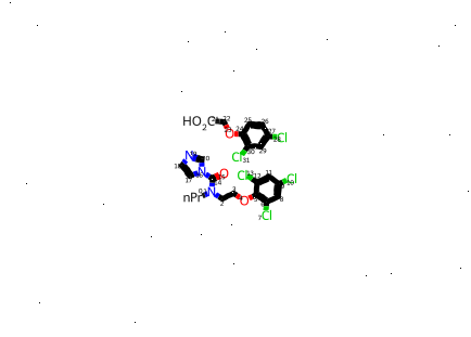 CCCN(CCOc1c(Cl)cc(Cl)cc1Cl)C(=O)n1ccnc1.O=C(O)COc1ccc(Cl)cc1Cl